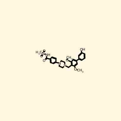 COc1cc(-c2cccc(O)c2)cc(OC)c1CN1CCN(c2ccc(C(=O)NS(C)(=O)=O)cc2)CC1